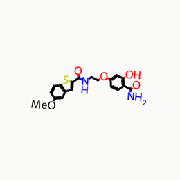 COc1ccc2sc(C(=O)NCCOc3ccc(C(N)=O)c(O)c3)cc2c1